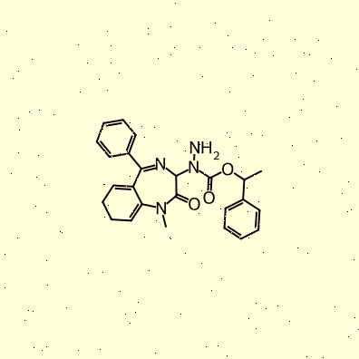 CC(OC(=O)N(N)C1N=C(c2ccccc2)C2=CCCC=C2N(C)C1=O)c1ccccc1